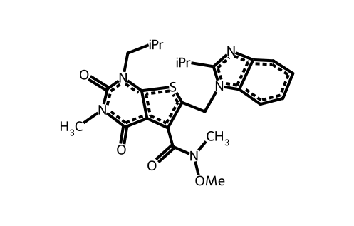 CON(C)C(=O)c1c(Cn2c(C(C)C)nc3ccccc32)sc2c1c(=O)n(C)c(=O)n2CC(C)C